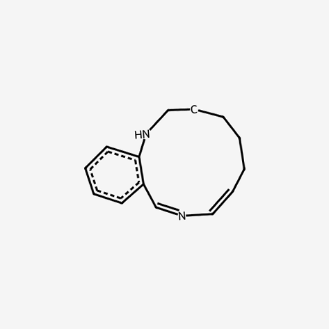 C1=CN=Cc2ccccc2NCCCCC1